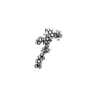 CCc1c(F)ccc2cc(O[Si](C(C)C)(C(C)C)C(C)C)cc(-c3ncc4c(N5CCC[C@]6(CCO6)C5)nc(OC[C@@]56CCCN5[C@H](COC(=O)Oc5ccc([N+](=O)[O-])cc5)CC6)nc4c3F)c12